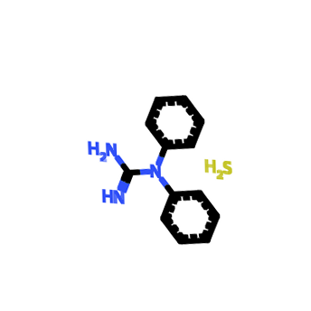 N=C(N)N(c1ccccc1)c1ccccc1.S